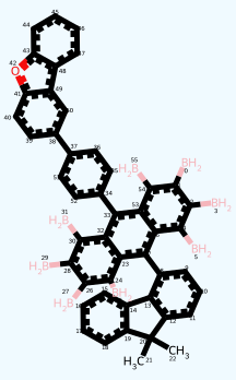 Bc1c(B)c(B)c2c(-c3cccc4c3-c3ccccc3C4(C)C)c3c(B)c(B)c(B)c(B)c3c(-c3ccc(-c4ccc5oc6ccccc6c5c4)cc3)c2c1B